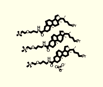 CC(C)CCC[C@@H](C)[C@H]1CCC2C3CC=C4CC(C(=O)NCCCOCC[N+](C)(C)C)CC[C@]4(C)C3CC[C@@]21C.CC(C)CCC[C@@H](C)[C@H]1CCC2C3CC=C4CC(C(=O)NCCCOCC[N+](C)(C)C)CC[C@]4(C)C3CC[C@@]21C.CC(C)CCC[C@@H](C)[C@H]1CCC2C3CC=C4CC(C(=O)NCCCOCC[N+](C)(C)C)CC[C@]4(C)C3CC[C@@]21C.[O-]P([O-])[O-]